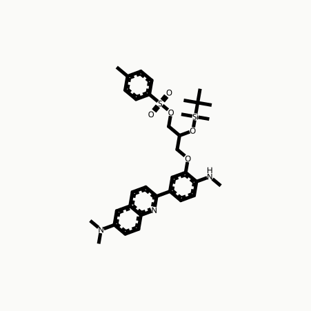 CNc1ccc(-c2ccc3cc(N(C)C)ccc3n2)cc1OCC(COS(=O)(=O)c1ccc(C)cc1)O[Si](C)(C)C(C)(C)C